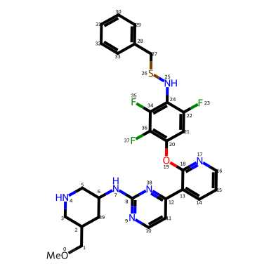 COCC1CNCC(Nc2nccc(-c3cccnc3Oc3cc(F)c(NSCc4ccccc4)c(F)c3F)n2)C1